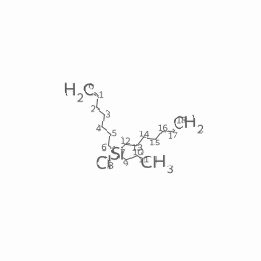 C=CCCCCC[Si](Cl)(CCC)CCCCCC=C